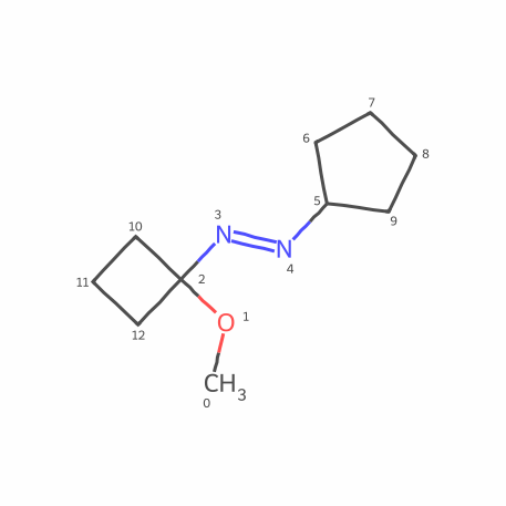 COC1(N=NC2CCCC2)CCC1